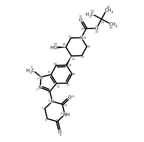 Cn1nc(N2CCC(=O)NC2=O)c2ccc([C@@H]3CCN(C(=O)OC(C)(C)C)C[C@@H]3O)cc21